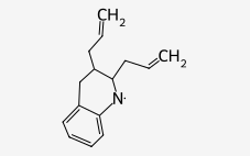 C=CCC1Cc2ccccc2[N]C1CC=C